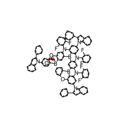 Fc1cccc(F)c1N1c2cc3c(cc2B2c4ccccc4Oc4cc(-n5c(-c6ccccc6)cc6ccccc65)cc1c42)B1c2cc4c(cc2N(c2c(F)cccc2F)c2cc(-n5c(-c6ccccc6)cc6ccccc65)cc(c21)N3c1c(F)cccc1F)Oc1cc(-n2c(-c3ccccc3)cc3ccccc32)cc2c1B4c1ccccc1O2